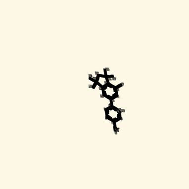 Cc1cc(-c2ccc(Br)cn2)cc2c1C(C)(C)CC2(C)C